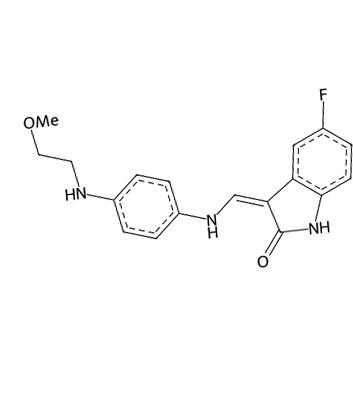 COCCNc1ccc(NC=C2C(=O)Nc3ccc(F)cc32)cc1